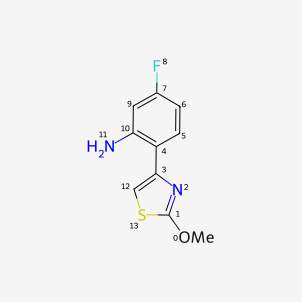 COc1nc(-c2ccc(F)cc2N)cs1